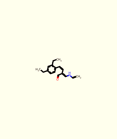 C=CN/C=C(C=O)\C=C/c1ccc(CC)cc1CC